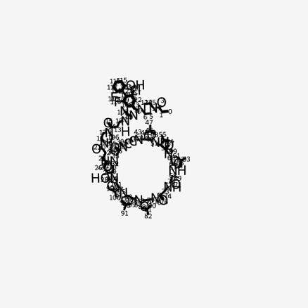 C=CC(=O)N1CCN(c2nc(NCCC(=O)N3CCN(C(=O)CCC[C@@H](C)[C@@H](O)[C@H]4C(=O)N[C@@H](CC)C(=O)N(C)CCN(C)[C@@H](CC(C)C)C(=O)N[C@@H](C(C)C)C(=O)N(C)[C@@H](CC(C)C)C(=O)N[C@@H](C)C(=O)N[C@H](C)C(=O)N(C)[C@@H](CC(C)C)C(=O)N(C)[C@@H](CC(C)C)C(=O)N(C)[C@@H](C(C)C)C(=O)N4C)CC3)nc3c(F)c(-c4c(O)cccc4F)c(Cl)cc23)CC1